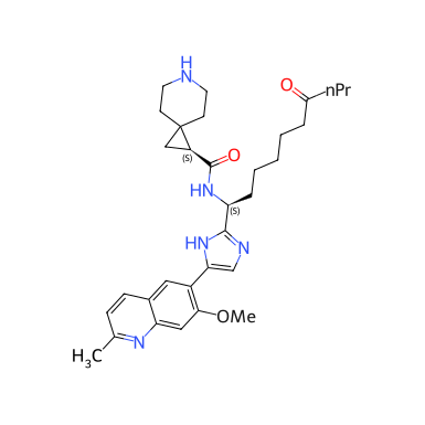 CCCC(=O)CCCCC[C@H](NC(=O)[C@H]1CC12CCNCC2)c1ncc(-c2cc3ccc(C)nc3cc2OC)[nH]1